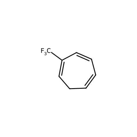 FC(F)(F)C1=CCC=CC=C1